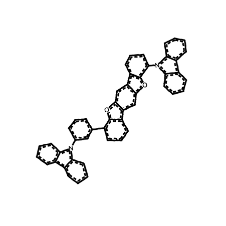 c1cc(-c2cccc3c2oc2cc4c(cc23)oc2c(-n3c5ccccc5c5ccccc53)cccc24)cc(-n2c3ccccc3c3ccccc32)c1